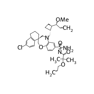 C=CCOC(C)(C)C(=O)N=S(N)(=O)c1ccc2c(c1)N(C[C@@H]1CC[C@H]1[C@H](C=C)OC)C[C@@]1(CCCc3cc(Cl)ccc31)CO2